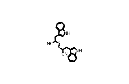 N#CC(Cc1c[nH]c2ccccc12)SSC(C#N)Cc1c[nH]c2ccccc12